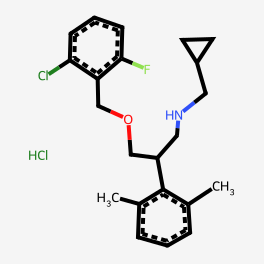 Cc1cccc(C)c1C(CNCC1CC1)COCc1c(F)cccc1Cl.Cl